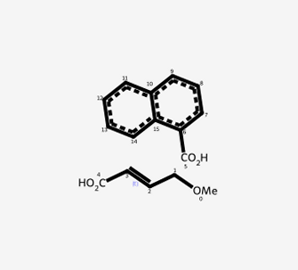 COC/C=C/C(=O)O.O=C(O)c1cccc2ccccc12